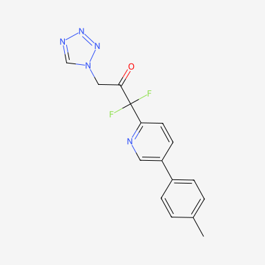 Cc1ccc(-c2ccc(C(F)(F)C(=O)Cn3cnnn3)nc2)cc1